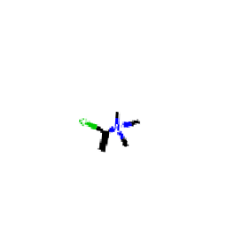 C=C(Cl)[N+](C)(C)C